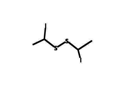 CC(I)SSC(C)I